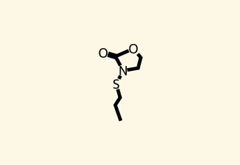 CCCSN1CCOC1=O